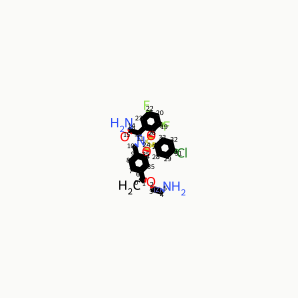 C=C(O/C=C\N)c1ccc(CN(C(C(N)=O)c2cc(F)cc(F)c2)S(=O)(=O)c2ccc(Cl)cc2)cc1